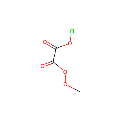 COOC(=O)C(=O)OCl